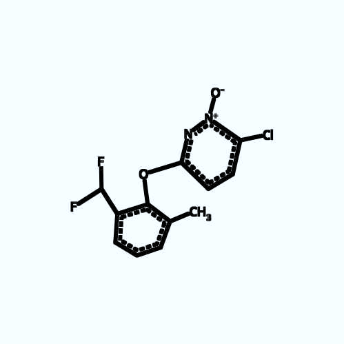 Cc1cccc(C(F)F)c1Oc1ccc(Cl)[n+]([O-])n1